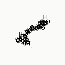 C[C@@H]1Cc2c([nH]c3ccccc23)[C@@H](c2c(F)cc(N3CCC4(CN(C(=O)CN5Cc6cc7c(cc6C5)C(=O)N(C5CCC(=O)NC5=O)C7=O)C4)C3)cc2F)N1CC(F)F